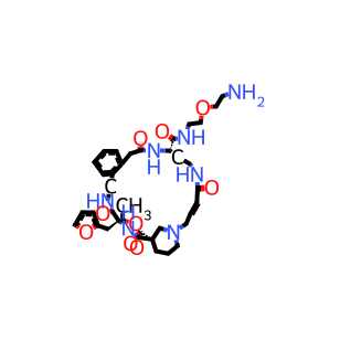 CCOC(=O)[C@]12CCCN(C/C=C/C(=O)NCC[C@@H](C(=O)NCCOCCN)NC(=O)Cc3ccccc3CNC(=O)[C@H](Cc3ccco3)NC1=O)C2